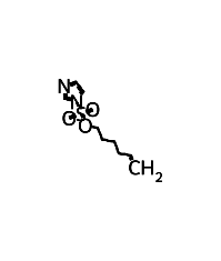 C=CCCCCOS(=O)(=O)n1ccnc1